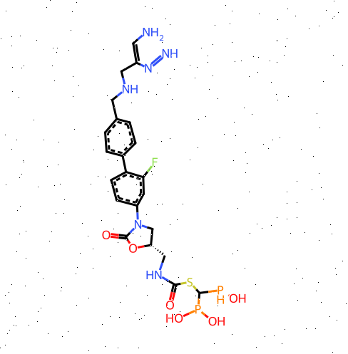 N=N/C(=C\N)CNCc1ccc(-c2ccc(N3C[C@H](CNC(=O)SC(PO)P(O)O)OC3=O)cc2F)cc1